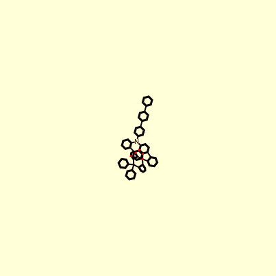 c1ccc(-c2ccc(-c3ccc(N(c4ccc5c(c4)C4(c6ccccc6-5)c5ccccc5C(c5ccccc5)(c5ccccc5)c5ccccc54)c4ccccc4-c4ccccc4)cc3)cc2)cc1